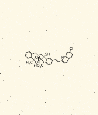 CC(C)(O)c1ccccc1CCCC(S)(c1cccc(C=Cc2ccc3ccc(Cl)cc3n2)c1)C1(CC(=O)O)CC1